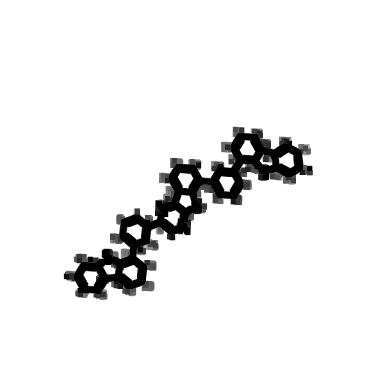 c1cc(-c2cnc3sc4c(-c5cccc(-c6cccc7c6sc6ccccc67)c5)cccc4c3n2)cc(-c2cccc3c2sc2ccccc23)c1